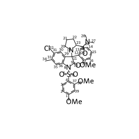 COc1ccc(S(=O)(=O)N2C(=O)C(c3ccccc3OC)(N3CCCC3C(=O)N(C)C)c3cc(Cl)c(C)cc32)c(OC)c1